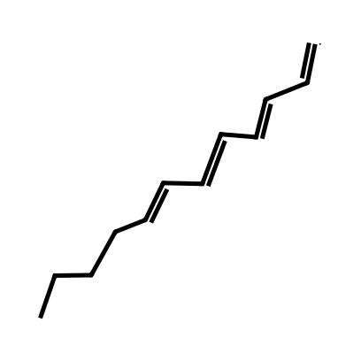 [CH]=CC=CC=CC=CCCCC